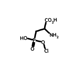 NC(CP(=O)(O)OCl)C(=O)O